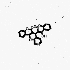 O=c1oc2ccccc2c(O)c1C(c1ccncc1)c1c(O)c2ccccc2oc1=O